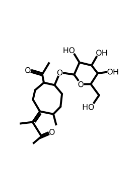 CC(=O)C(C)=C1CCC(C(C)=O)C(OC2OC(CO)C(O)C(O)C2O)CCC1C